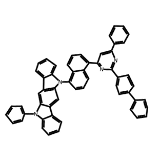 c1ccc(-c2ccc(-c3nc(-c4ccccc4)cc(-c4cccc5c(-n6c7ccccc7c7cc8c(cc76)c6ccccc6n8-c6ccccc6)cccc45)n3)cc2)cc1